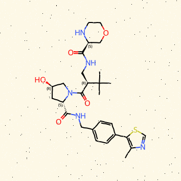 Cc1ncsc1-c1ccc(CNC(=O)[C@@H]2C[C@@H](O)CN2C(=O)[C@@H](CNC(=O)[C@@H]2COCCN2)C(C)(C)C)cc1